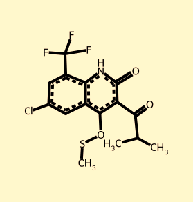 CSOc1c(C(=O)C(C)C)c(=O)[nH]c2c(C(F)(F)F)cc(Cl)cc12